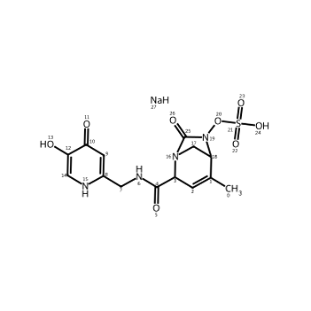 CC1=CC(C(=O)NCc2cc(=O)c(O)c[nH]2)N2CC1N(OS(=O)(=O)O)C2=O.[NaH]